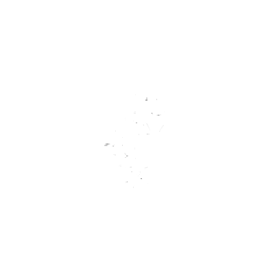 C#CC(C)(C(C)O[Si](C)(c1ccccc1)C(C)O[Si](C)(C)C)[Si](C)(C)OC(C)(C)[Si](C)(C)C